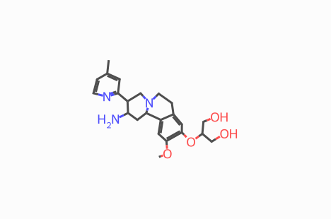 COc1cc2c(cc1OC(CO)CO)CCN1CC(c3cc(C)ccn3)C(N)CC21